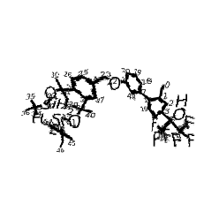 Cc1cc(C(O)(C(F)(F)F)C(F)(F)F)ccc1-c1cccc(OCc2ccc(C(C)(C)O[SiH2]C(C)(C)C)c(C(C)(C)O[SiH2]C(C)(C)C)c2)c1